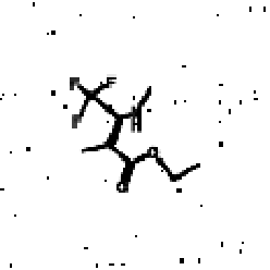 CCOC(=O)C(C)=C(NC)C(F)(F)F